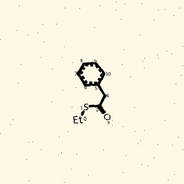 CCSC(=O)Cc1ccccc1